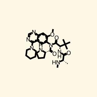 CN[C@@H](C)C(=O)N[C@H](C(=O)N(C(=O)[C@@H]1CCCN1)c1cc2c(N3CCCCC3)ncnc2cc1OC)C(C)(C)C